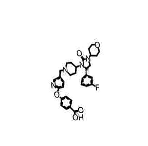 O=C(O)c1ccc(Oc2ccc(CN3CCC(N4C(=O)N(C5CCOCC5)C[C@H]4c4cccc(F)c4)CC3)cn2)cc1